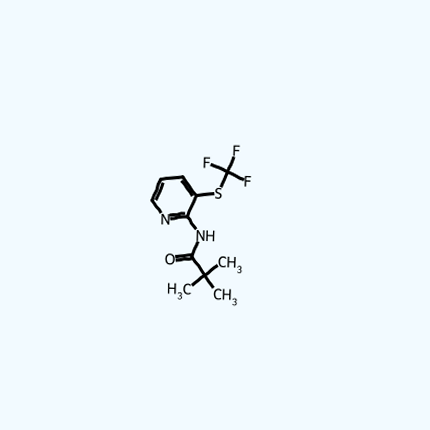 CC(C)(C)C(=O)Nc1ncccc1SC(F)(F)F